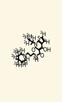 [2H]c1sc2c(c1[2H])c(O)c(C(=O)N([2H])CCCN1C([2H])([2H])C([2H])([2H])C([2H])(C)C([2H])([2H])C1([2H])[2H])c(=O)n2C([2H])(C)C([2H])([2H])[2H]